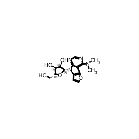 CN(C)c1ncnc2c1c1occc1n2[C@@H]1O[C@H](CO)[C@@H](O)[C@H]1O